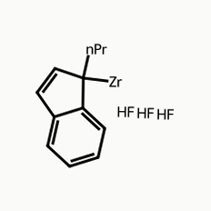 CCC[C]1([Zr])C=Cc2ccccc21.F.F.F